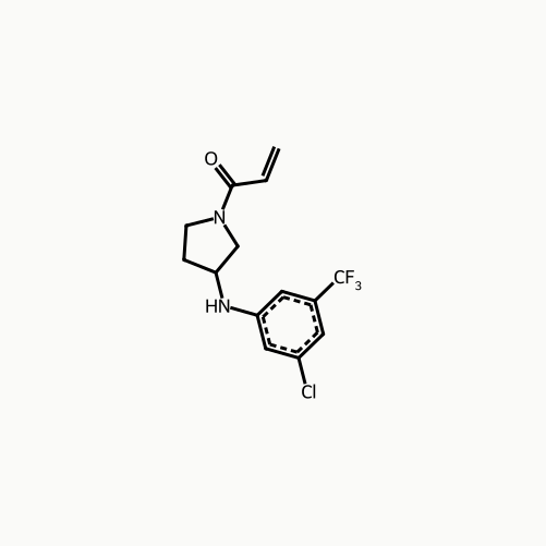 C=CC(=O)N1CCC(Nc2cc(Cl)cc(C(F)(F)F)c2)C1